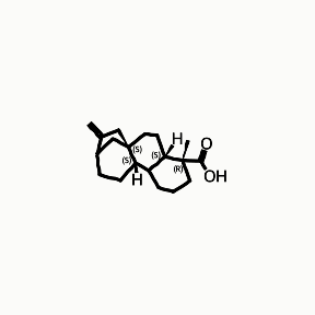 C=C1C[C@@]23CC[C@H]4C(CCC[C@@]4(C)C(=O)O)[C@@H]2CCC1C3